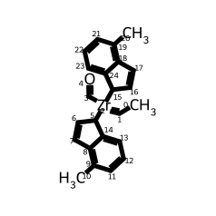 C[CH]=[Zr]([CH]=O)([CH]1C=Cc2c(C)cccc21)[CH]1C=Cc2c(C)cccc21